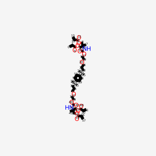 C=CC(=O)OCC(C)(COC(=O)C=C)NC(=O)OCCOCCC[Si](C)(C)c1ccc([Si](C)(C)CCCOCCOC(=O)NC(C)(COC(=O)C=C)COC(=O)C=C)cc1